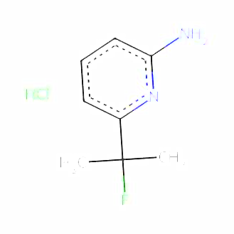 CC(C)(F)c1cccc(N)n1.Cl